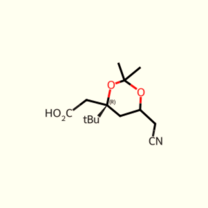 CC1(C)OC(CC#N)C[C@@](CC(=O)O)(C(C)(C)C)O1